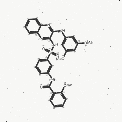 COc1cc(Nc2nc3ccccc3nc2NS(=O)(=O)c2cccc(NC(=O)c3ccccc3OC)c2)cc(OC)c1